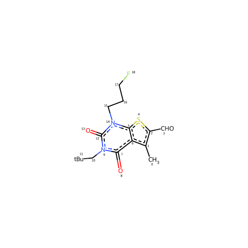 Cc1c(C=O)sc2c1c(=O)n(CC(C)(C)C)c(=O)n2CCCF